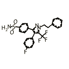 NS(=O)(=O)c1ccc(-c2nn(CCc3ccccc3)c(C(F)(F)F)c2-c2ccc(F)cc2)cc1